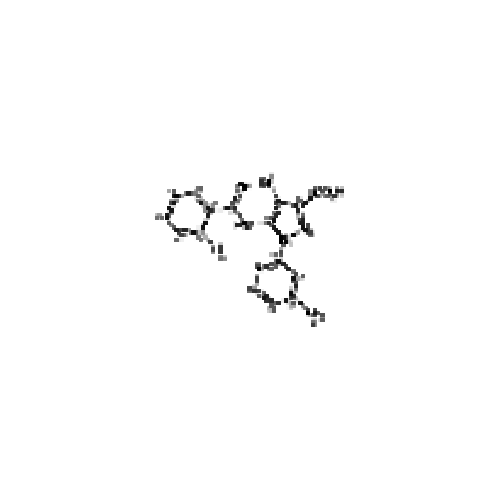 O=C(Nc1c(Br)c(C(=O)O)nn1-c1cccc(C(F)(F)F)c1)c1ccccc1Cl